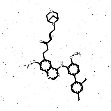 COc1cc2ncnc(Nc3cc(-c4ccc(F)cc4F)ccc3OC)c2cc1CCC(=O)/C=C/CN1C2COCC1C2